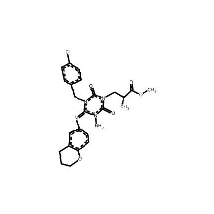 COC(=O)[C@@H](C)Cn1c(=O)n(N)/c(=N\c2ccc3c(c2)CCCO3)n(Cc2ccc(Cl)cc2)c1=O